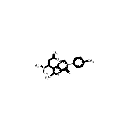 C=C(Cl)/C=C(\c1c(N)sc2c(=O)n(-c3ccc(C)cc3)cnc12)N(C)C